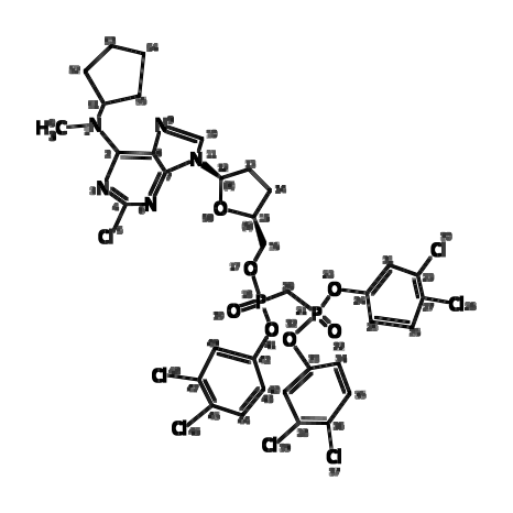 CN(c1nc(Cl)nc2c1ncn2[C@H]1CC[C@@H](COP(=O)(CP(=O)(Oc2ccc(Cl)c(Cl)c2)Oc2ccc(Cl)c(Cl)c2)Oc2ccc(Cl)c(Cl)c2)O1)C1CCCC1